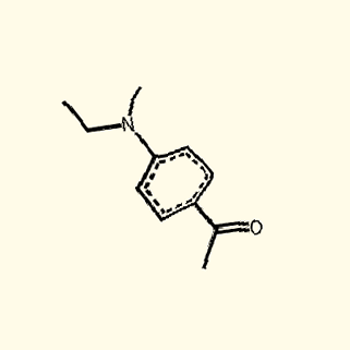 CCN(C)c1ccc(C(C)=O)cc1